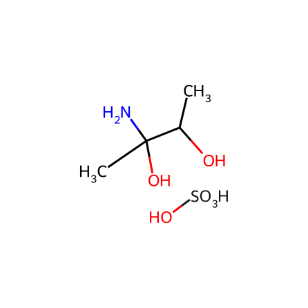 CC(O)C(C)(N)O.O=S(=O)(O)O